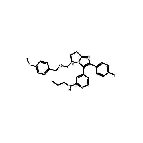 CCCNc1cc(-c2c(-c3ccc(F)cc3)nc3n2[C@@H](COCc2ccc(OC)cc2)CC3)ccn1